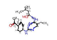 CCc1cnc(Nc2ccc(C(C)=O)cc2)nc1NC(O)CC(C)C